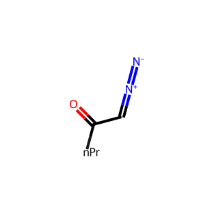 [CH2]CCC(=O)C=[N+]=[N-]